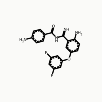 N=C(NC(=O)c1ccc(N)cc1)c1cc(Oc2cc(F)cc(F)c2)ccc1N